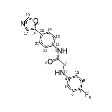 O=C(CNc1ccc(F)cc1)Nc1ccc(-c2cnco2)cc1